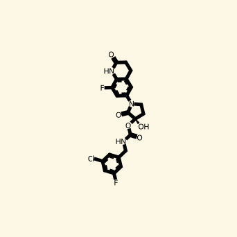 O=C1CCc2cc(N3CC[C@](O)(OC(=O)NCc4cc(F)cc(Cl)c4)C3=O)cc(F)c2N1